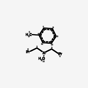 CC(C)[CH2][Al][CH2]C(C)C.Cc1ccccc1.O